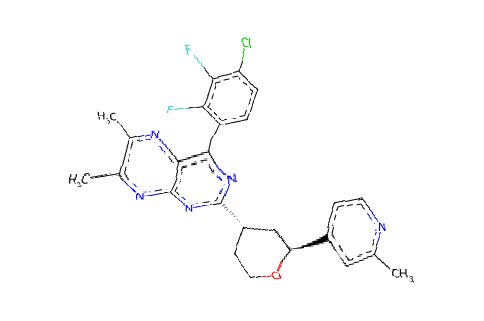 Cc1cc([C@@H]2C[C@@H](c3nc(-c4ccc(Cl)c(F)c4F)c4nc(C)c(C)nc4n3)CCO2)ccn1